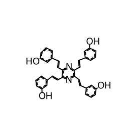 Oc1cccc(C=Cc2nc(C=Cc3cccc(O)c3)c(C=Cc3cccc(O)c3)nc2C=Cc2cccc(O)c2)c1